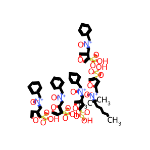 CCCCCC(C)(C)[N+]([O-])=Cc1cc(S(=O)(=O)O)co1.O=S(=O)(O)c1cc(C=[N+]([O-])Cc2ccccc2)co1.O=S(=O)(O)c1ccoc1C=[N+]([O-])Cc1ccccc1.O=S(=O)(O)c1cocc1C=[N+]([O-])Cc1ccccc1.O=S(=O)(O)c1occc1C=[N+]([O-])Cc1ccccc1